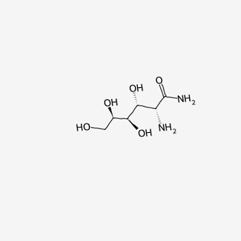 NC(=O)[C@H](N)[C@@H](O)[C@@H](O)[C@H](O)CO